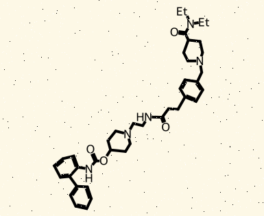 CCN(CC)C(=O)C1CCN(Cc2ccc(CCC(=O)NCCN3CCC(OC(=O)Nc4ccccc4-c4ccccc4)CC3)cc2)CC1